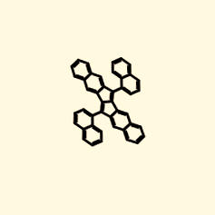 c1ccc2cc3c(cc2c1)C1=C(c2cccc4ccccc24)c2cc4ccccc4cc2C1=C3c1cccc2ccccc12